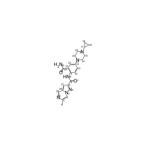 Cc1cn2nc(C(=O)Nc3ccc(N4CCN(C5CC5)CC4)cc3C(N)=O)cc2cn1